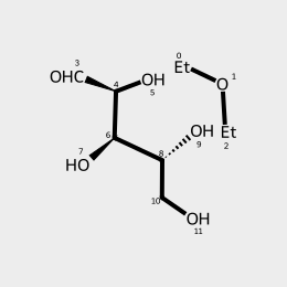 CCOCC.O=C[C@@H](O)[C@H](O)[C@H](O)CO